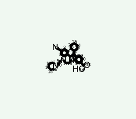 N#Cc1ccc2c(c1)N(CCN1CCCCC1)CCn1c-2c(C2CCCCC2)c2ccc(C(=O)O)cc21